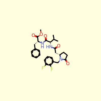 COC(=O)[C@@H](Cc1ccccc1)NC(=O)[C@@H](NC(=O)C[C@@H]1CCC(=O)N1Cc1cccc(F)c1F)C(C)C